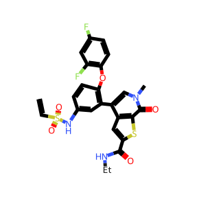 C=CS(=O)(=O)Nc1ccc(Oc2ccc(F)cc2F)c(-c2cn(C)c(=O)c3sc(C(=O)NCC)cc23)c1